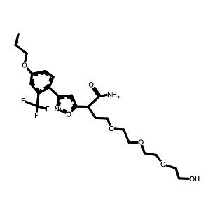 CCCOc1ccc(-c2cc(C(CCOCCOCCOCCO)C(N)=O)on2)c(C(F)(F)F)c1